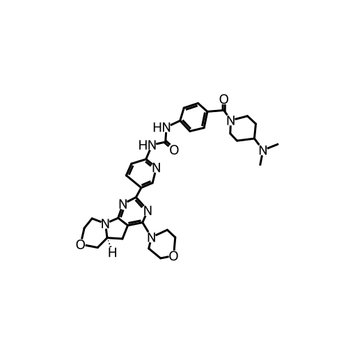 CN(C)C1CCN(C(=O)c2ccc(NC(=O)Nc3ccc(-c4nc(N5CCOCC5)c5c(n4)N4CCOC[C@@H]4C5)cn3)cc2)CC1